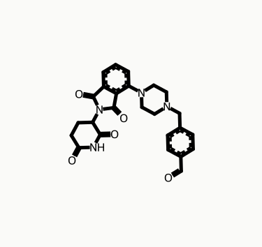 O=Cc1ccc(CN2CCN(c3cccc4c3C(=O)N(C3CCC(=O)NC3=O)C4=O)CC2)cc1